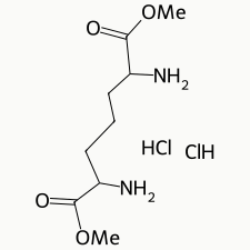 COC(=O)C(N)CCCC(N)C(=O)OC.Cl.Cl